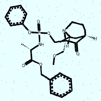 COC[C@@]1(COP(=O)(N[C@@H](C)C(=O)OCc2ccccc2)Oc2ccccc2)C(=O)[C@@H]2CCN1[C@@H](C)C2